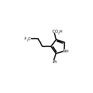 CC(C)c1[nH]cc(C(=O)O)c1CCC(F)(F)F